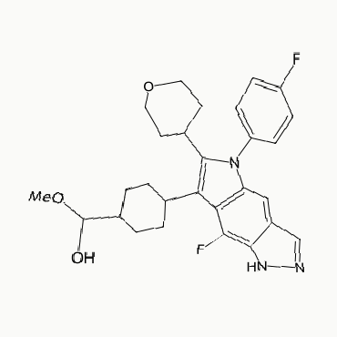 COC(O)C1CCC(c2c(C3CCOCC3)n(-c3ccc(F)cc3)c3cc4cn[nH]c4c(F)c23)CC1